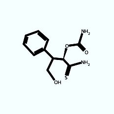 NC(=O)O[C@@H](C(N)=S)C(CO)c1ccccc1